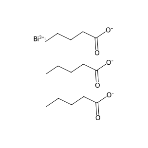 CCCCC(=O)[O-].CCCCC(=O)[O-].CCCCC(=O)[O-].[Bi+3]